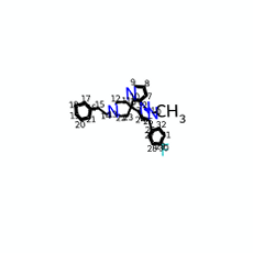 Cn1nc(C2(c3ccccn3)CCN(CCc3ccccc3)CC2)cc1-c1ccc(F)cc1